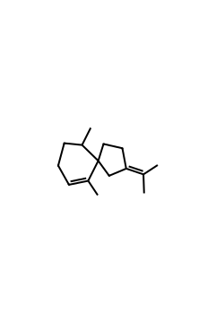 CC1=CCCC(C)C12CCC(=C(C)C)C2